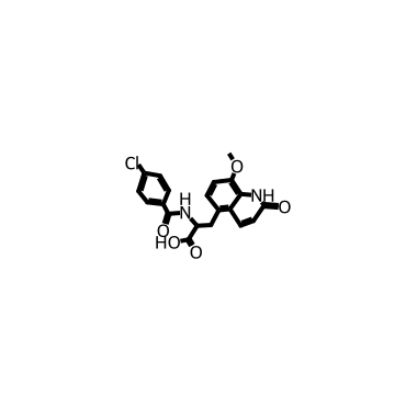 COc1ccc(CC(NC(=O)c2ccc(Cl)cc2)C(=O)O)c2ccc(=O)[nH]c12